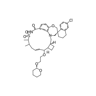 CC1C/C=C/C(OCCO[C@@H]2CCCCO2)[C@@H]2CC[C@H]2CN2C[C@@]3(CCCc4cc(Cl)ccc43)COc3ccc(cc32)C(=O)NS(=O)(=O)C1C